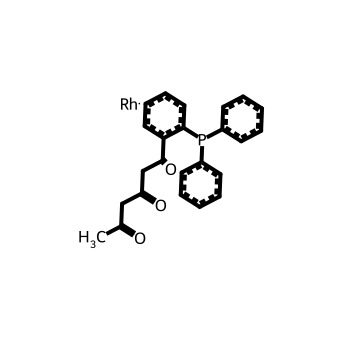 CC(=O)CC(=O)CC(=O)c1ccccc1P(c1ccccc1)c1ccccc1.[Rh]